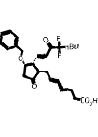 CCCCC(F)(F)C(=O)/C=C/[C@H]1[C@H](OCc2ccccc2)CC(=O)[C@@H]1CC=CCCCC(=O)O